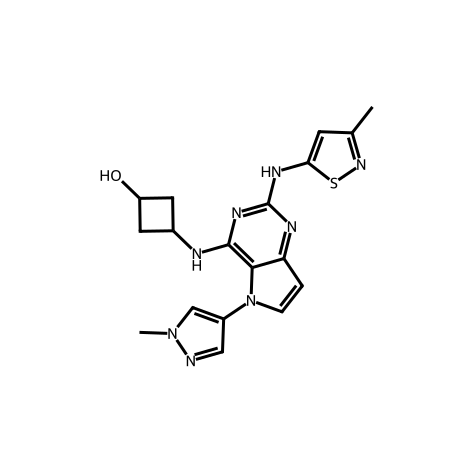 Cc1cc(Nc2nc(NC3CC(O)C3)c3c(ccn3-c3cnn(C)c3)n2)sn1